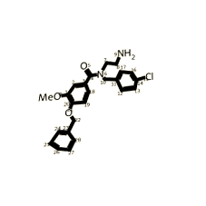 COc1cc(C(=O)N(CCN)Cc2ccc(Cl)cc2)ccc1OCc1ccccc1